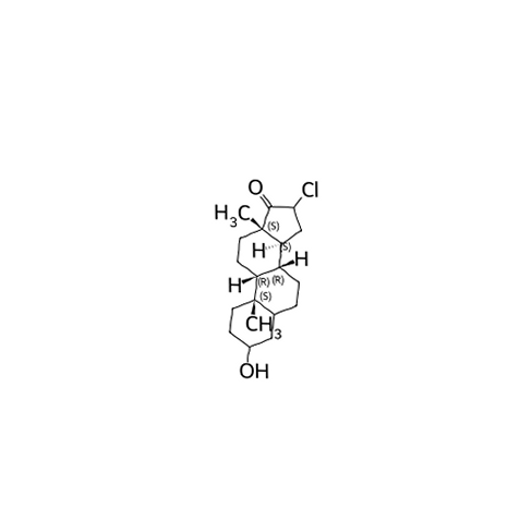 C[C@]12CCC(O)CC1CC[C@@H]1[C@H]2CC[C@]2(C)C(=O)C(Cl)C[C@@H]12